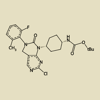 Cc1cccc(F)c1N1Cc2cnc(Cl)nc2N([C@H]2CC[C@@H](NC(=O)OC(C)(C)C)CC2)C1=O